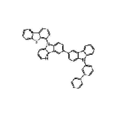 c1ccc(-c2cccc(-n3c4ccccc4c4cc(-c5ccc6c(c5)c5ncccc5n6-c5cccc6c5sc5ccccc56)ccc43)c2)cc1